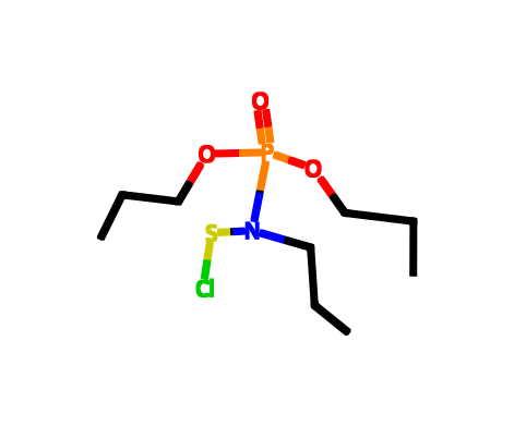 CCCOP(=O)(OCCC)N(CCC)SCl